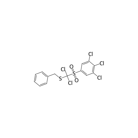 O=S(=O)(c1cc(Cl)c(Cl)c(Cl)c1)C(Cl)(Cl)SCc1ccccc1